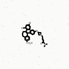 CN(C)C(=O)/C=C/CN1CC(Oc2ccc(C3=C(c4ccc(Cl)cc4Cl)CCCc4cc(C(=O)O)ccc43)cc2)C1